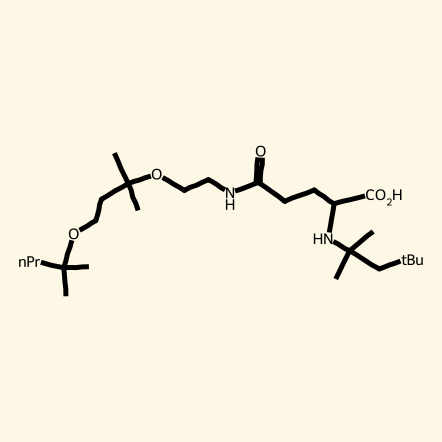 CCCC(C)(C)OCCC(C)(C)OCCNC(=O)CCC(NC(C)(C)CC(C)(C)C)C(=O)O